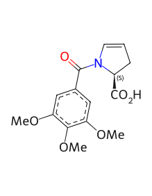 COc1cc(C(=O)N2C=CC[C@H]2C(=O)O)cc(OC)c1OC